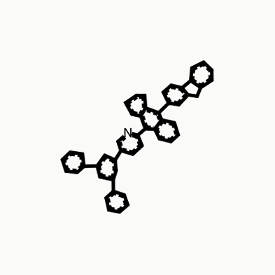 c1ccc(-c2cc(-c3ccccc3)cc(-c3ccc(-c4c5ccccc5c(-c5ccc6c(c5)Cc5ccccc5-6)c5ccccc45)nc3)c2)cc1